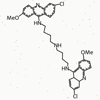 COc1ccc2c(c1)=C(NCCCCNCCCCNc1c3ccc(Cl)cc3nc3ccc(OC)cc13)C1C=CC(Cl)=CC1N=2